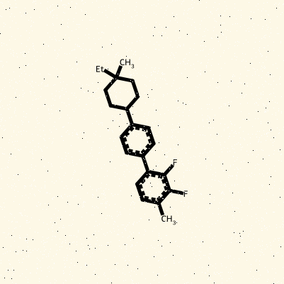 CCC1(C)CCC(c2ccc(-c3ccc(C)c(F)c3F)cc2)CC1